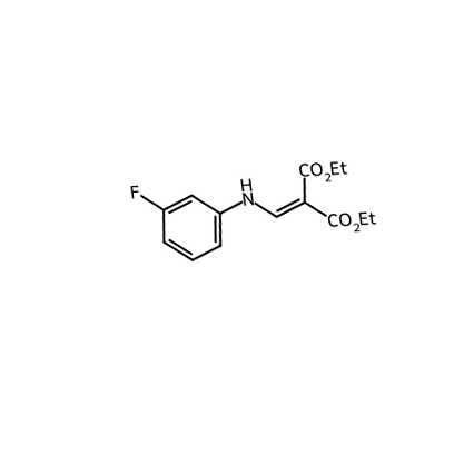 CCOC(=O)C(=CNc1cccc(F)c1)C(=O)OCC